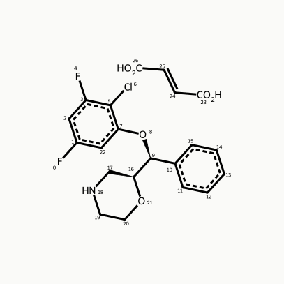 Fc1cc(F)c(Cl)c(O[C@@H](c2ccccc2)[C@@H]2CNCCO2)c1.O=C(O)C=CC(=O)O